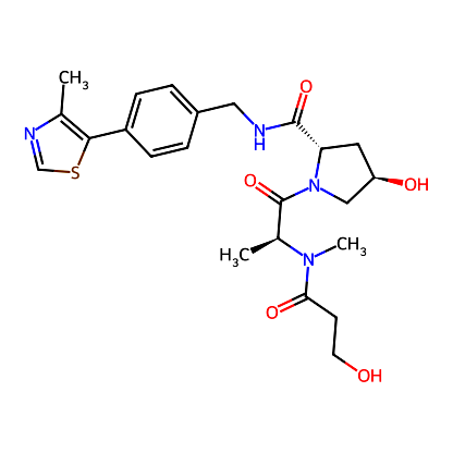 Cc1ncsc1-c1ccc(CNC(=O)[C@@H]2C[C@@H](O)CN2C(=O)[C@H](C)N(C)C(=O)CCO)cc1